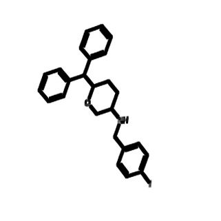 Ic1ccc(CNC2CCC(C(c3ccccc3)c3ccccc3)OC2)cc1